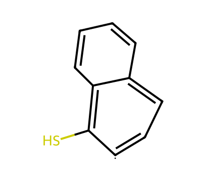 Sc1[c]ccc2ccccc12